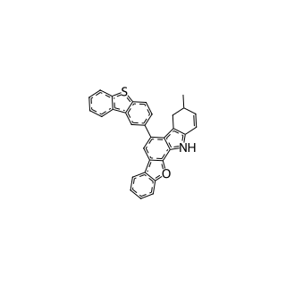 CC1C=Cc2[nH]c3c(c(-c4ccc5sc6ccccc6c5c4)cc4c5ccccc5oc43)c2C1